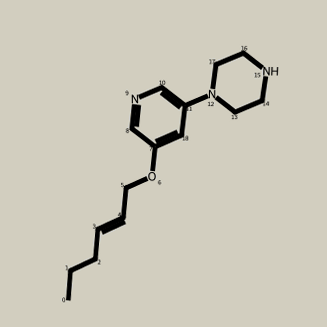 CCCC=CCOc1cncc(N2CCNCC2)c1